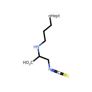 CCCCCCCCCCNC(CN=C=S)C(=O)O